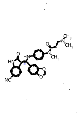 CN(C)CCC(=O)N(C)c1ccc(N/C(=C2\C(=O)Nc3cc(C#N)ccc32)c2ccc3c(c2)OCO3)cc1